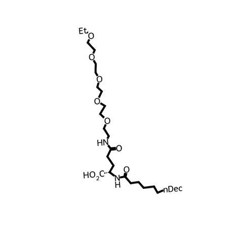 CCCCCCCCCCCCCCCC(=O)N[C@@H](CCC(=O)NCCOCCOCCOCCOCCOCC)C(=O)O